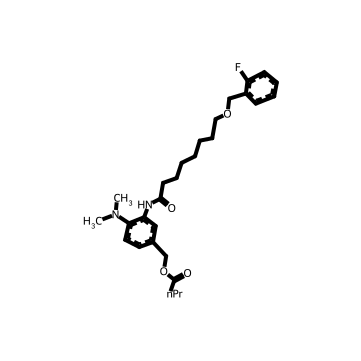 CCCC(=O)OCc1ccc(N(C)C)c(NC(=O)CCCCCCCOCc2ccccc2F)c1